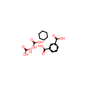 C1CCCCC1.O=C(O)O.O=C(O)O.O=C(O)c1cccc(C(=O)O)c1